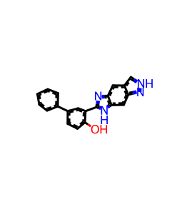 Oc1ccc(-c2ccccc2)cc1-c1nc2cc3c[nH]nc3cc2[nH]1